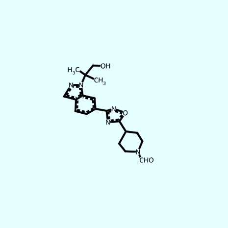 CC(C)(CO)n1ncc2ccc(-c3noc(C4CCN(C=O)CC4)n3)cc21